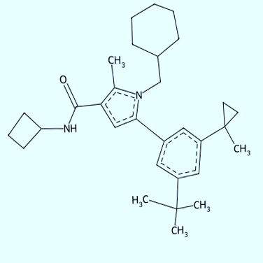 Cc1c(C(=O)NC2CCC2)cc(-c2cc(C(C)(C)C)cc(C3(C)CC3)c2)n1CC1CCCCC1